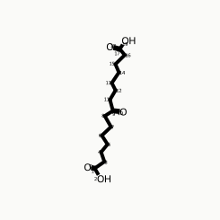 O=C(O)CCCCCCC(=O)CCCCCCC(=O)O